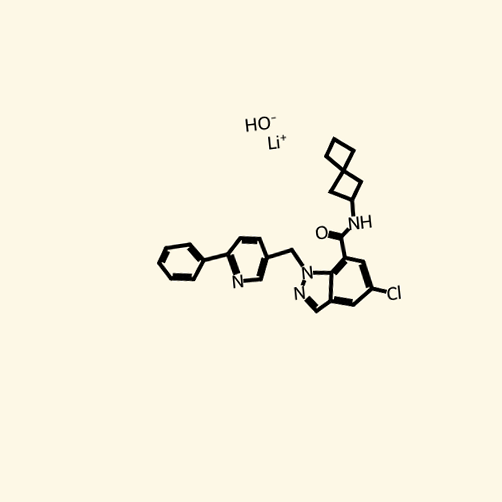 O=C(NC1CC2(CCC2)C1)c1cc(Cl)cc2cnn(Cc3ccc(-c4ccccc4)nc3)c12.[Li+].[OH-]